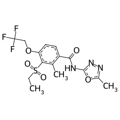 CCS(=O)(=O)c1c(OCC(F)(F)F)ccc(C(=O)Nc2nnc(C)o2)c1C